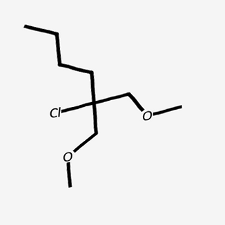 CCCCC(Cl)(COC)COC